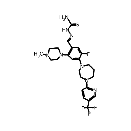 CN1CCN(c2cc(N3CCCN(c4ccc(C(F)(F)F)cn4)CC3)c(F)cc2C=NNC(N)=S)CC1